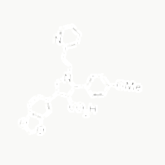 COc1ccc(C2C(C(=O)O)C(c3ccc4c(c3)OCO4)CN2CCc2ccccn2)cc1